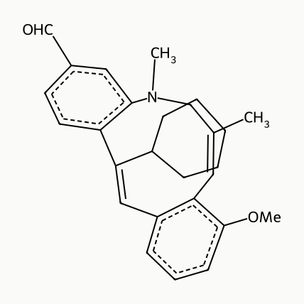 COc1cccc2c1/C=C(/C)CN(C)c1cc(C=O)ccc1/C(C1CCCCC1)=C/2